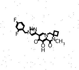 CN1C(=O)c2c(O)c(=O)c(-c3cn(Cc4ccc(F)cc4F)nn3)cn2CC12CCC2